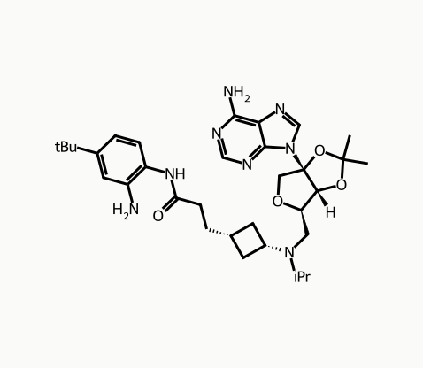 CC(C)N(C[C@H]1OC[C@]2(n3cnc4c(N)ncnc43)OC(C)(C)O[C@H]12)[C@H]1C[C@@H](CCC(=O)Nc2ccc(C(C)(C)C)cc2N)C1